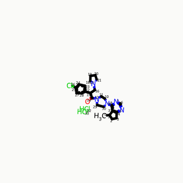 CC1CCc2ncnc(N3CCN(C(=O)C(CN4CCCC4)c4ccc(Cl)cc4)CC3)c21.Cl.Cl